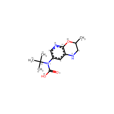 CC1CNc2cc(N(C(=O)O)C(C)(C)C)cnc2O1